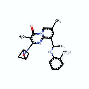 Cc1cc([C@@H](C)Nc2ccccc2C(=O)O)c2nc(N3CC4CC3C4)c(C)c(=O)n2c1